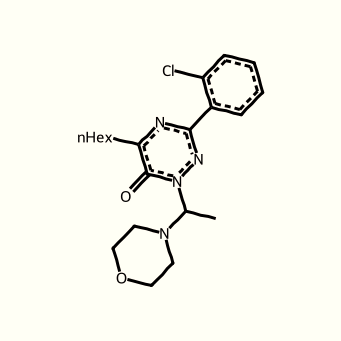 CCCCCCc1nc(-c2ccccc2Cl)nn(C(C)N2CCOCC2)c1=O